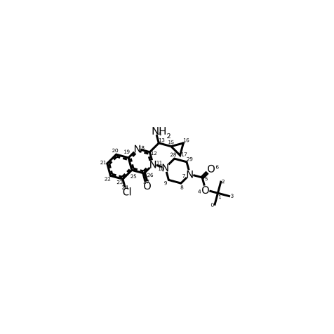 CC(C)(C)OC(=O)N1CCN(n2c(C(N)C3CC3)nc3cccc(Cl)c3c2=O)CC1